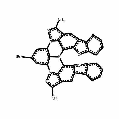 Cc1nn2c3c(c4oc5ccccc5c4cc13)B1c3c-2cc(C(C)(C)C)cc3-n2nc(C)c3cc4c(oc5ccccc54)c1c32